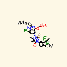 COc1nc(OCCO)c2cc(N3C(=S)N(c4ccc(C#N)c(C(C)(F)F)c4)C(=O)C3(C)C)cc(F)c2n1